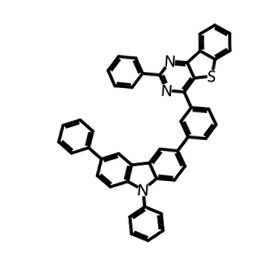 c1ccc(-c2ccc3c(c2)c2cc(-c4cccc(-c5nc(-c6ccccc6)nc6c5sc5ccccc56)c4)ccc2n3-c2ccccc2)cc1